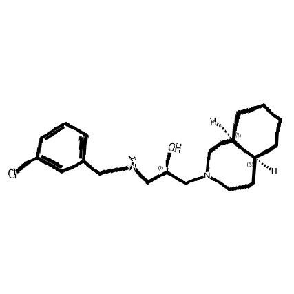 O[C@H](CNCc1cccc(Cl)c1)CN1CC[C@@H]2CCCC[C@@H]2C1